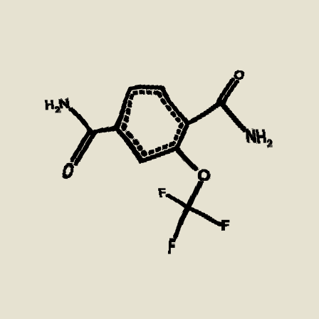 NC(=O)c1ccc(C(N)=O)c(OC(F)(F)F)c1